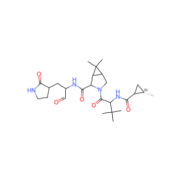 C[C@H]1CC1C(=O)NC(C(=O)N1CC2C(C1C(=O)NC(C=O)CC1CCNC1=O)C2(C)C)C(C)(C)C